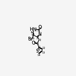 O=C(Cc1nc(=O)[nH]cc1Br)c1cccs1